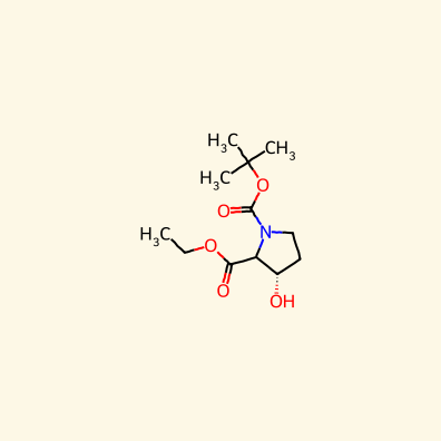 CCOC(=O)C1[C@@H](O)CCN1C(=O)OC(C)(C)C